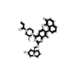 C=CC(=O)N1CCN(c2nc(OC[C@@]34CCCN3C[C@H](F)C4)nc3c(F)c(-c4cccc5ccc(F)c(Cl)c45)c(F)cc23)[C@@H](C)C1